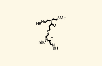 B=NCCN(CCSC)C(=O)CCSCCN(CCCC)C(=O)CN=B